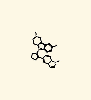 Cc1ccc2c(c1)c1c(n2C2=C(C3=CC4C=CN(C)C4C=C3)CCC2)CCN(C)C1